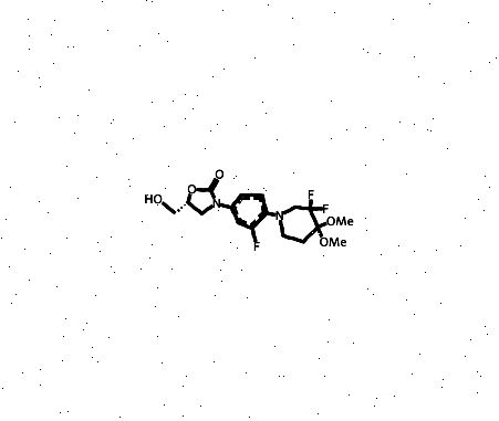 COC1(OC)CCN(c2ccc(N3C[C@H](CO)OC3=O)cc2F)CC1(F)F